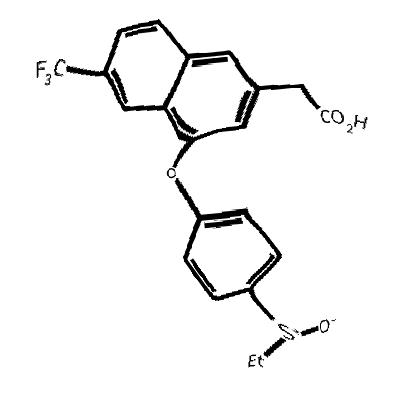 CC[S+]([O-])c1ccc(Oc2cc(CC(=O)O)cc3ccc(C(F)(F)F)cc23)cc1